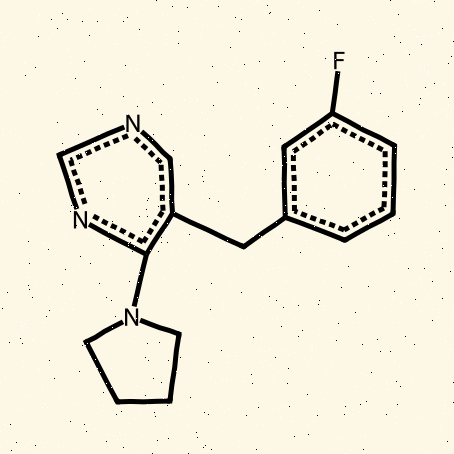 Fc1cccc(Cc2cncnc2N2CCCC2)c1